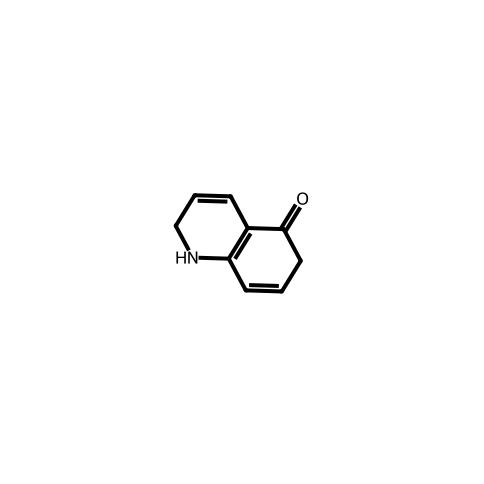 O=C1CC=CC2=C1C=CCN2